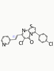 O=c1c(Cl)c(/C=C/c2cccnc2)nc2scc(-c3ccc(Cl)cc3)n12